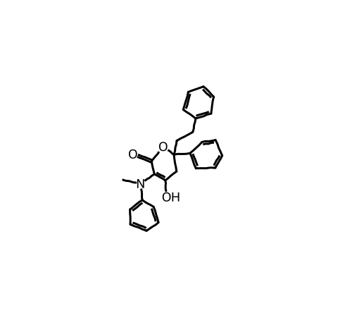 CN(C1=C(O)CC(CCc2ccccc2)(c2ccccc2)OC1=O)c1ccccc1